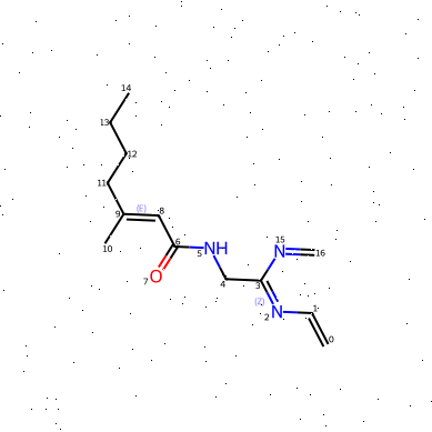 C=C/N=C(/CNC(=O)/C=C(\C)CCCC)N=C